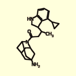 CC(CC(=O)N1C2CC3CC1CC(N)(C3)C2)C1CNc2cccc(C3CC3)c21